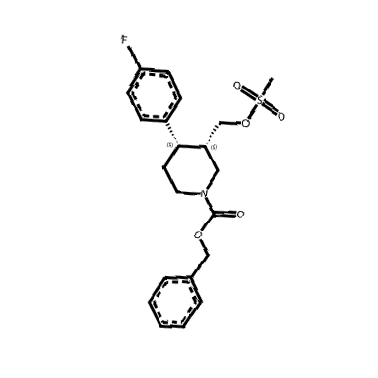 CS(=O)(=O)OC[C@@H]1CN(C(=O)OCc2ccccc2)CC[C@@H]1c1ccc(F)cc1